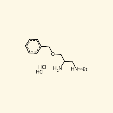 CCNCC(N)COCc1ccccc1.Cl.Cl